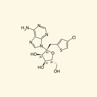 Nc1ncnc2c1ncn2[C@]1(Cc2cc(Cl)cs2)O[C@H](CO)[C@@H](O)[C@H]1O